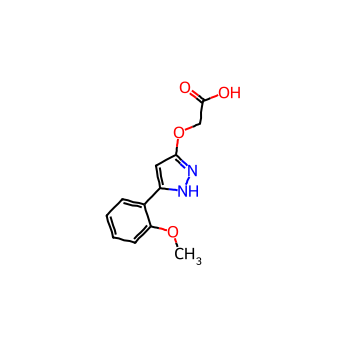 COc1ccccc1-c1cc(OCC(=O)O)n[nH]1